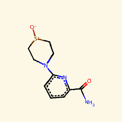 NC(=O)c1[c]ccc(N2CC[S+]([O-])CC2)n1